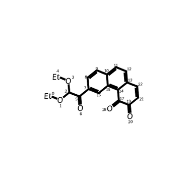 CCOC(OCC)C(=O)c1ccc2ccc3c(c2c1)C(=O)C(=O)C=C3